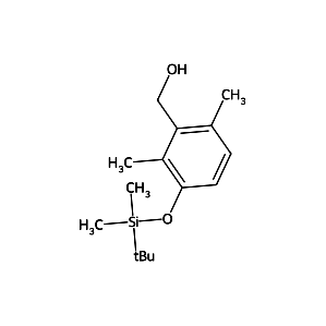 Cc1ccc(O[Si](C)(C)C(C)(C)C)c(C)c1CO